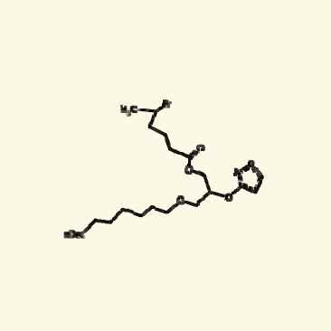 CCCCCCCCCCCCCCCCOCC(COC(=O)CCCC(C)Br)Oc1ccon1